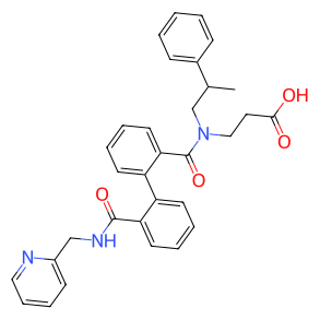 CC(CN(CCC(=O)O)C(=O)c1ccccc1-c1ccccc1C(=O)NCc1ccccn1)c1ccccc1